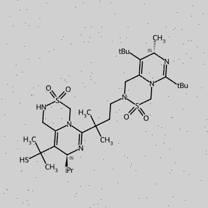 CC(C)[C@@H]1N=C(C(C)(C)CCN2CC3=C(C(C)(C)C)[C@H](C)N=C(C(C)(C)C)N3CS2(=O)=O)N2CS(=O)(=O)NCC2=C1C(C)(C)S